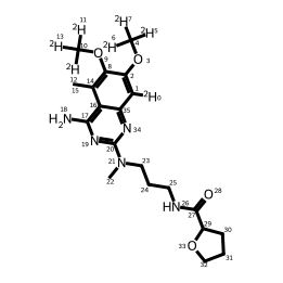 [2H]c1c(OC([2H])([2H])[2H])c(OC([2H])([2H])[2H])c(C)c2c(N)nc(N(C)CCCNC(=O)C3CCCO3)nc12